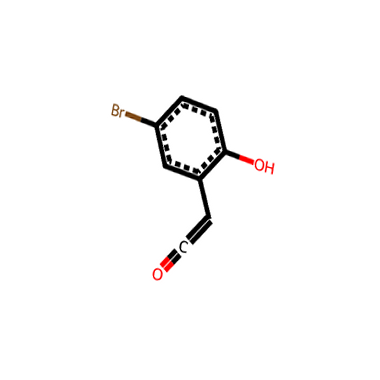 O=C=Cc1cc(Br)ccc1O